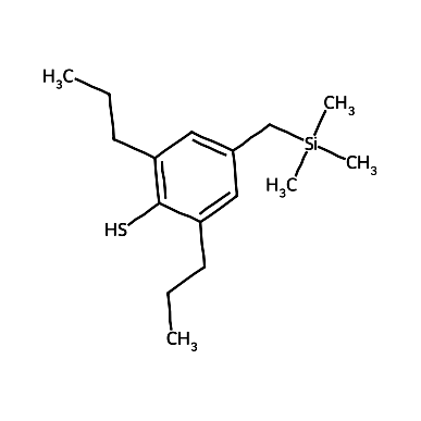 CCCc1cc(C[Si](C)(C)C)cc(CCC)c1S